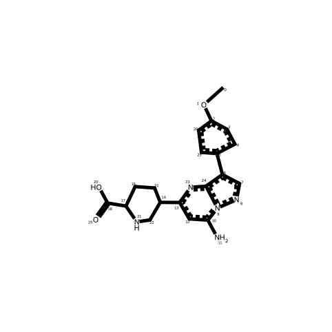 COc1ccc(-c2cnn3c(N)cc(C4CCC(C(=O)O)NC4)nc23)cc1